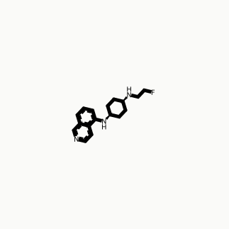 FCCN[C@H]1CC[C@@H](Nc2cccc3cnccc23)CC1